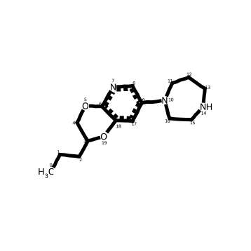 CCCC1COc2ncc(N3CCCNCC3)cc2O1